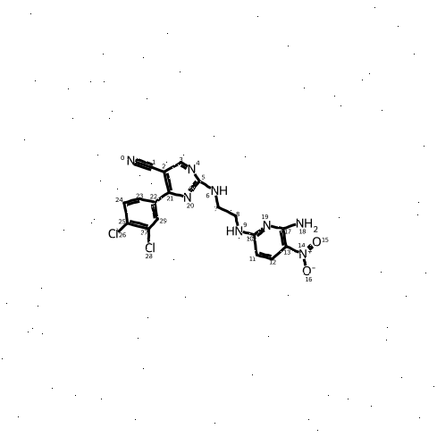 N#Cc1cnc(NCCNc2ccc([N+](=O)[O-])c(N)n2)nc1-c1ccc(Cl)c(Cl)c1